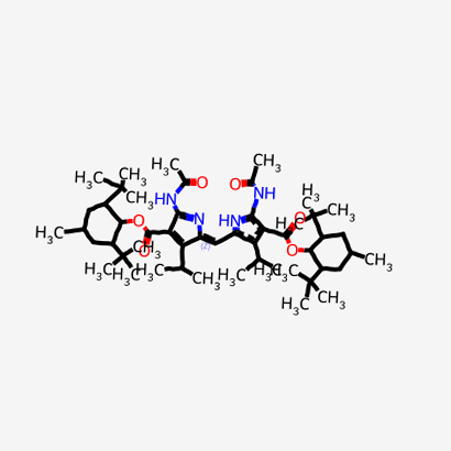 CC(=O)NC1=N/C(=C\c2[nH]c(NC(C)=O)c(C(=O)OC3C(C(C)(C)C)CC(C)CC3C(C)(C)C)c2C(C)C)C(C(C)C)=C1C(=O)OC1C(C(C)(C)C)CC(C)CC1C(C)(C)C